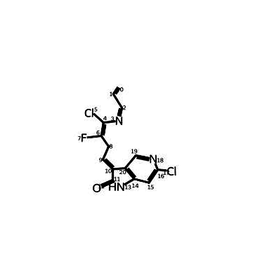 C=C/C=N\C(Cl)=C(\F)C/C=C1/C(=O)Nc2cc(Cl)ncc21